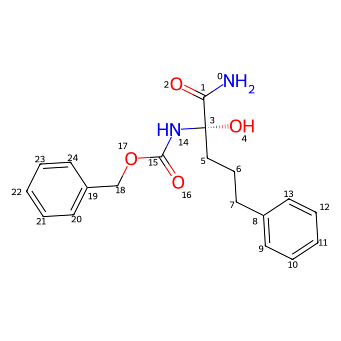 NC(=O)[C@@](O)(CCCc1ccccc1)NC(=O)OCc1ccccc1